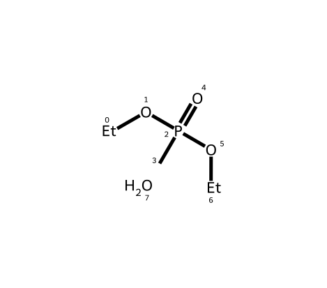 CCOP(C)(=O)OCC.O